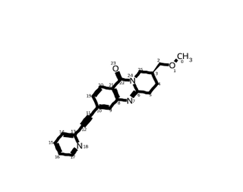 COC[C@H]1CCc2nc3cc(C#Cc4ccccn4)ccc3c(=O)n2C1